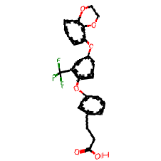 O=C(O)CCc1cccc(Oc2ccc(Oc3cccc4c3OCCO4)cc2C(F)(F)F)c1